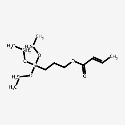 CC=CC(=O)OCCC[Si](O[SiH2]C)(O[SiH2]C)O[SiH2]C